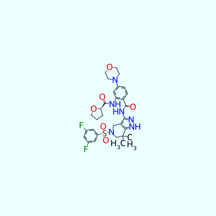 CC1(C)CN(S(=O)(=O)c2cc(F)cc(F)c2)Cc2c(NC(=O)c3ccc(N4CCOCC4)cc3NC(=O)[C@H]3CCCO3)n[nH]c21